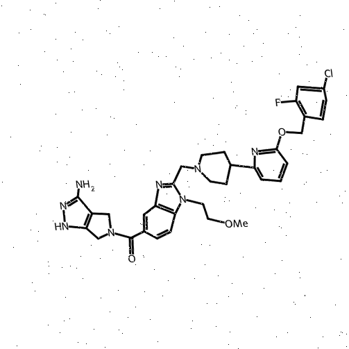 COCCn1c(CN2CCC(c3cccc(OCc4ccc(Cl)cc4F)n3)CC2)nc2cc(C(=O)N3Cc4[nH]nc(N)c4C3)ccc21